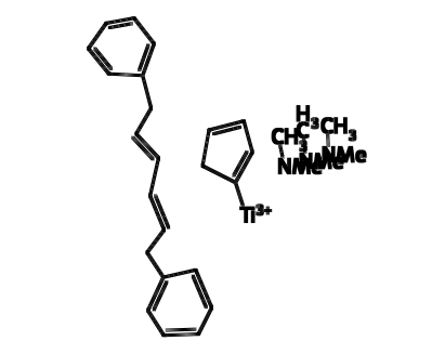 C(C=CCc1ccccc1)=CCc1ccccc1.C[N-]C.C[N-]C.C[N-]C.[Ti+3][C]1=CC=CC1